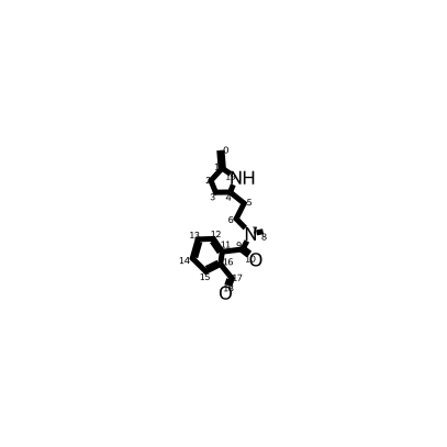 C=C1CCC(CCN(C)C(=O)c2ccccc2C=O)N1